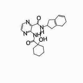 O=C(NC1CC2=C(CCC=C2)C1)c1nccnc1NC(=O)C1(O)CCCCC1